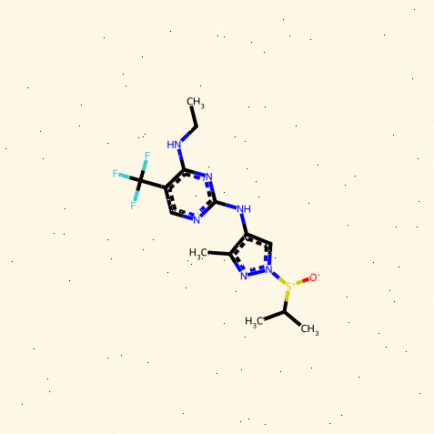 CCNc1nc(Nc2cn([S+]([O-])C(C)C)nc2C)ncc1C(F)(F)F